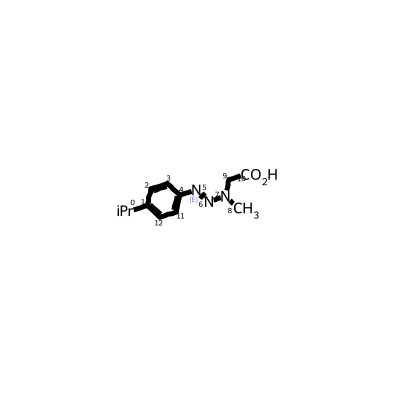 CC(C)c1ccc(/N=N/N(C)CC(=O)O)cc1